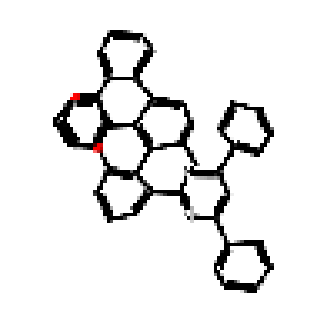 Cc1ccc2c3ccccc3c3ccccc3c2c1-c1c(-c2ccccc2)cccc1-c1nc(-c2ccccc2)cc(-c2ccccc2)n1